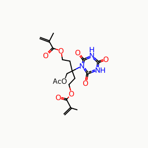 C=C(C)C(=O)OCCC(CCOC(=O)C(=C)C)(COC(C)=O)n1c(=O)[nH]c(=O)[nH]c1=O